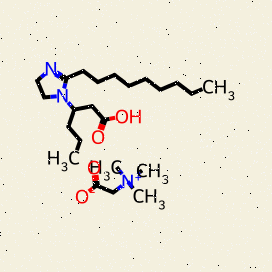 CCCCCCCCCC1=NCCN1C(CCC)CC(=O)O.C[N+](C)(C)CC(=O)[O-]